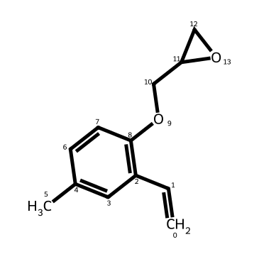 C=Cc1cc(C)ccc1OCC1CO1